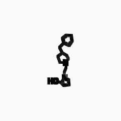 Oc1cccn1CCN1CCC(Cc2ccccc2)CC1